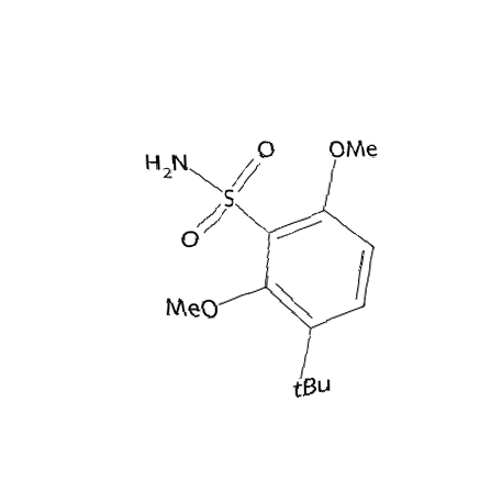 COc1ccc(C(C)(C)C)c(OC)c1S(N)(=O)=O